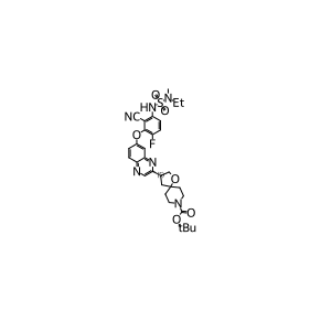 CCN(C)S(=O)(=O)Nc1ccc(F)c(Oc2ccc3ncc([C@H]4COC5(CCN(C(=O)OC(C)(C)C)CC5)C4)nc3c2)c1C#N